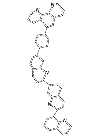 c1cnc2c(-c3ccc4ccc(-c5ccc6ccc(-c7ccc(-c8cc9cccnc9c9ncccc89)cc7)cc6n5)cc4n3)cccc2c1